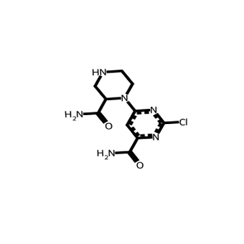 NC(=O)c1cc(N2CCNCC2C(N)=O)nc(Cl)n1